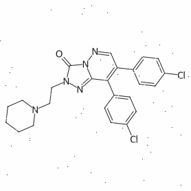 O=c1n(CCN2CCCCC2)nc2c(-c3ccc(Cl)cc3)c(-c3ccc(Cl)cc3)cnn12